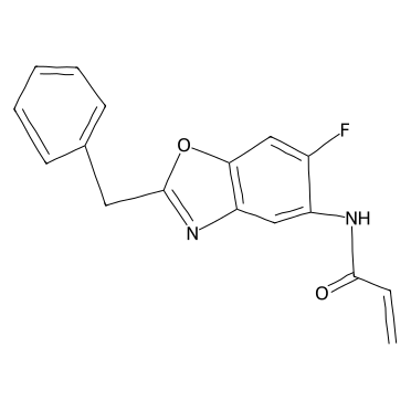 C=CC(=O)Nc1cc2nc(Cc3ccccc3)oc2cc1F